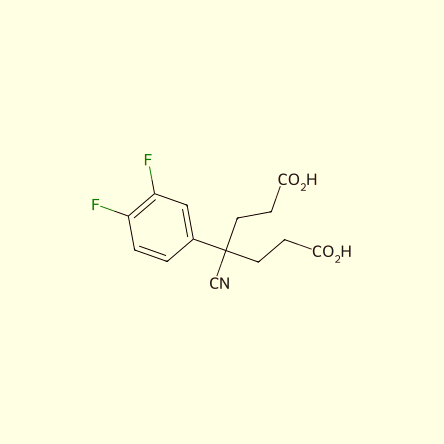 N#CC(CCC(=O)O)(CCC(=O)O)c1ccc(F)c(F)c1